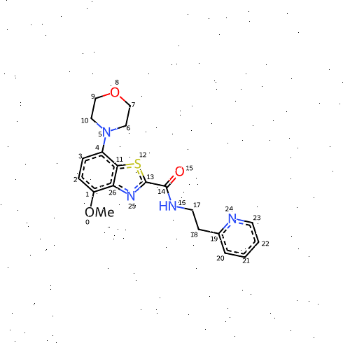 COc1ccc(N2CCOCC2)c2sc(C(=O)NCCc3ccccn3)nc12